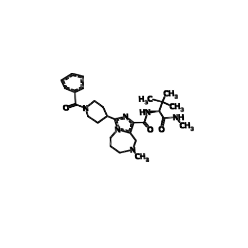 CNC(=O)[C@@H](NC(=O)c1nc(C2CCN(C(=O)c3ccccc3)CC2)n2c1CN(C)CCC2)C(C)(C)C